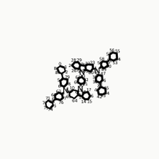 C1=CCC(c2ccc(N(C3=Cc4c(c5ccccc5n4-c4ccc(-n5c6ccccc6c6ccc(N(c7ccc(-c8ccccc8)cc7)c7ccc(-c8ccccc8)cc7)cc65)cc4)CC3)c3ccc(C4=CCCC=C4)cc3)cc2)C=C1